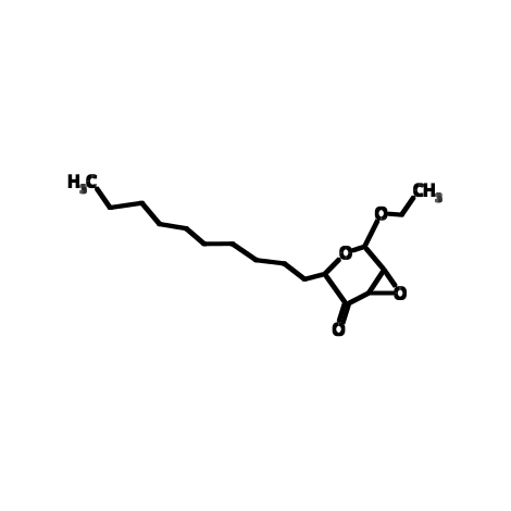 CCCCCCCCCCC1OC(OCC)C2OC2C1=O